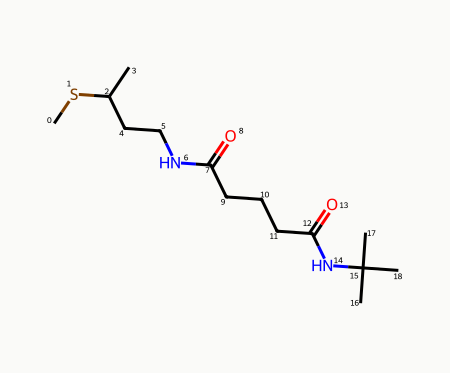 CSC(C)CCNC(=O)CCCC(=O)NC(C)(C)C